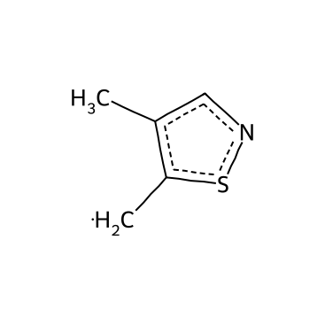 [CH2]c1sncc1C